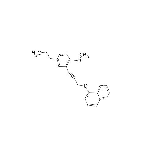 C[CH]Cc1ccc(OC)c(C#CCOc2cccc3ccccc23)c1